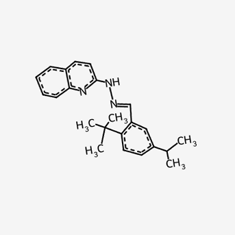 CC(C)c1ccc(C(C)(C)C)c(/C=N/Nc2ccc3ccccc3n2)c1